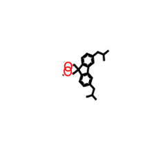 COCC1(COC)c2ccc(CC(C)C)cc2-c2cc(CC(C)C)ccc21